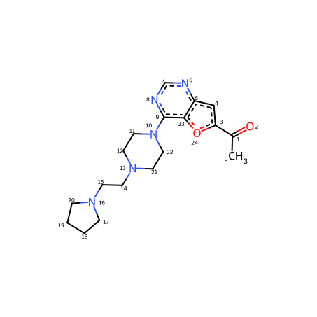 CC(=O)c1cc2ncnc(N3CCN(CCN4CCCC4)CC3)c2o1